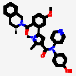 COc1ccc(C(=O)N2Cc3ccccc3C[C@H]2C)c(-c2cc(C(=O)N(c3ccncc3)c3ccc(O)cc3)c(C)n2C)c1